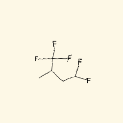 CC(CC(F)F)C(F)(F)F